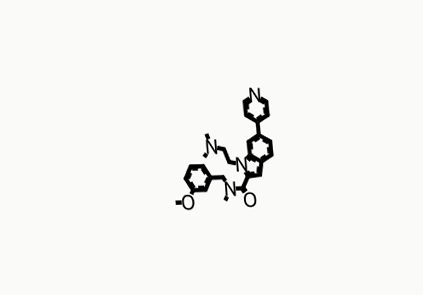 COc1cccc(CN(C)C(=O)c2cc3ccc(-c4ccncc4)cc3n2CCN(C)C)c1